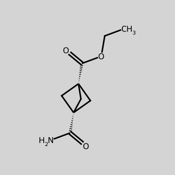 CCOC(=O)[C@]12C[C@](C(N)=O)(C1)C2